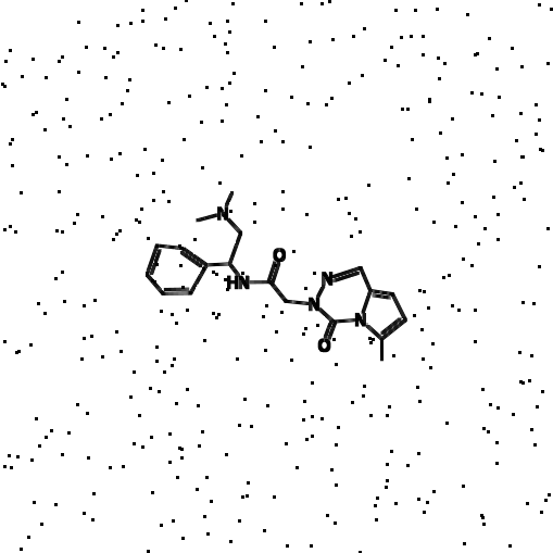 Cc1ccc2cnn(CC(=O)NC(CN(C)C)c3ccccc3)c(=O)n12